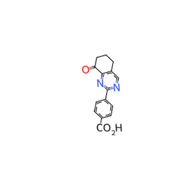 O=C(O)c1ccc(-c2ncc3c(n2)C(=O)CCC3)cc1